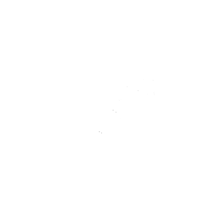 CC(C)(C)OC(=O)N1CCN(Cc2ccccc2)CC1Cc1csc2ccccc12